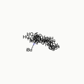 CCC(C)CCCCC/C=C/CC(=O)NC(CC(=O)O)C(=O)N(C)C(CC(=O)O)C(=O)NC(CC(=O)O)C(=O)NCC(=O)NC(CC(=O)O)C(=O)NCC(=O)NC(C(=O)NC(C(=O)N1CCCC1C(=O)NC1C(=O)N2CCCCC2C(=O)NC1C)C(C)C)C(C)N